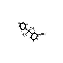 CC(C)(C)c1cccc(C(C)(C)c2ccccc2)c1